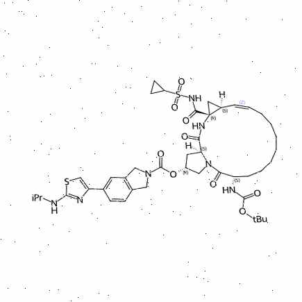 CC(C)Nc1nc(-c2ccc3c(c2)CN(C(=O)O[C@@H]2C[C@H]4C(=O)N[C@]5(C(=O)NS(=O)(=O)C6CC6)C[C@H]5/C=C\CCCCCCC[C@H](NC(=O)OC(C)(C)C)C(=O)N4C2)C3)cs1